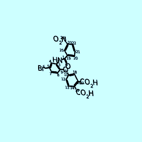 O=C(Nc1cc(Br)ccc1Oc1ccc(C(=O)O)c(C(=O)O)c1)c1cccc([N+](=O)[O-])c1